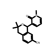 Cn1cccc(C2OC(C)(C)Cc3ccc(C#N)cc32)c1=O